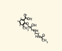 CC(=O)NCCNCC(O)COc1c(C)cccc1C(=O)O